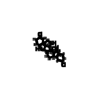 CC12c3[nH]c4ccc(Cl)cc4c3CCN1C1Nc3ccc(Cl)cc3C13CCNC32